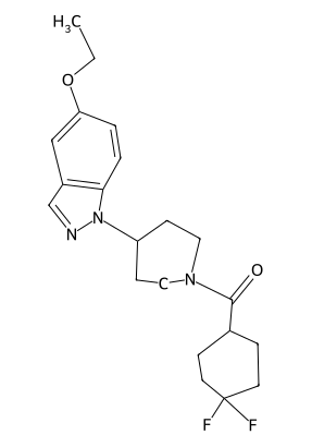 CCOc1ccc2c(cnn2C2CCN(C(=O)C3CCC(F)(F)CC3)CC2)c1